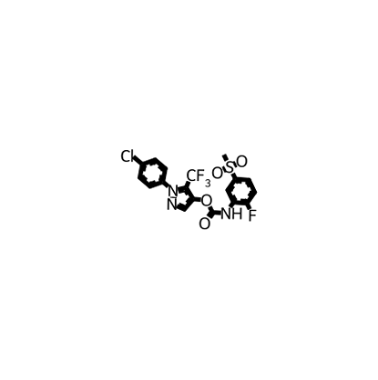 CS(=O)(=O)c1ccc(F)c(NC(=O)Oc2cnn(-c3ccc(Cl)cc3)c2C(F)(F)F)c1